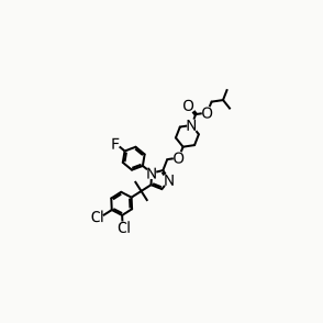 CC(C)COC(=O)N1CCC(OCc2ncc(C(C)(C)c3ccc(Cl)c(Cl)c3)n2-c2ccc(F)cc2)CC1